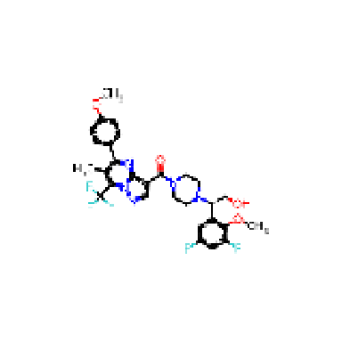 COc1ccc(-c2nc3c(C(=O)N4CCN([C@@H](CO)c5cc(F)cc(F)c5OC)CC4)cnn3c(C(F)(F)F)c2C)cc1